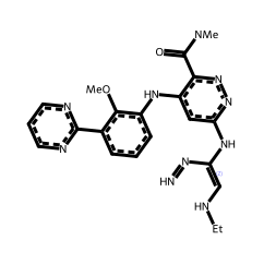 CCN/C=C(\N=N)Nc1cc(Nc2cccc(-c3ncccn3)c2OC)c(C(=O)NC)nn1